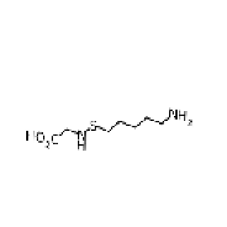 NCCCCCSNCC(=O)O